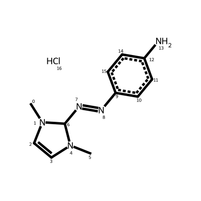 CN1C=CN(C)C1N=Nc1ccc(N)cc1.Cl